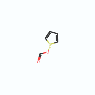 O=[C]O[SH]1C=CC=C1